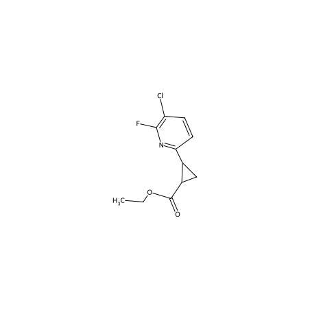 CCOC(=O)C1CC1c1ccc(Cl)c(F)n1